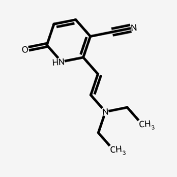 CCN(C=Cc1[nH]c(=O)ccc1C#N)CC